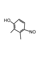 Cc1c(O)ccc(N=O)c1C